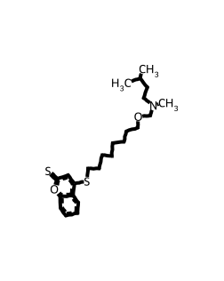 CC(C)CCN(C)COCCCCCCCCSc1cc(=S)oc2ccccc12